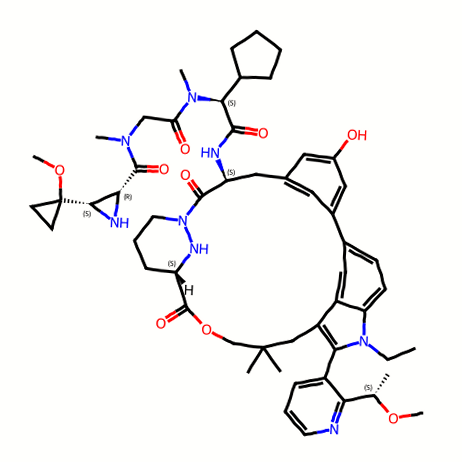 CCn1c(-c2cccnc2[C@H](C)OC)c2c3cc(ccc31)-c1cc(O)cc(c1)C[C@H](NC(=O)[C@H](C1CCCC1)N(C)C(=O)CN(C)C(=O)[C@@H]1N[C@@H]1C1(OC)CC1)C(=O)N1CCC[C@H](N1)C(=O)OCC(C)(C)C2